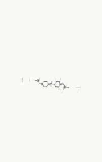 C#CC(=O)Oc1ccc(C(C)(C)c2ccc(OC(=O)C#C)cc2)cc1